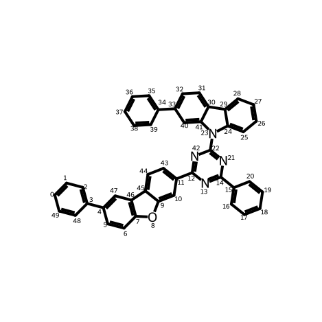 c1ccc(-c2ccc3oc4cc(-c5nc(-c6ccccc6)nc(-n6c7ccccc7c7ccc(-c8ccccc8)cc76)n5)ccc4c3c2)cc1